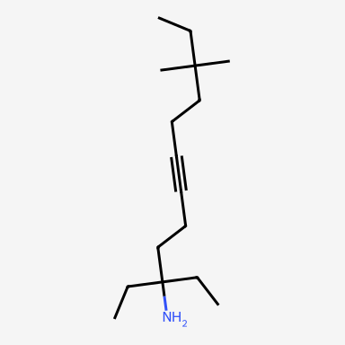 CCC(C)(C)CCC#CCCC(N)(CC)CC